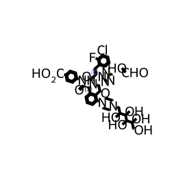 O=C(O)c1ccc(NC(=O)[C@@H]2c3cccc(N4CCN(CC(O)C(O)C(O)C(O)CO)CC4=O)c3CCN2C(=O)/C=C/c2c(-n3cnnn3)ccc(Cl)c2F)cc1.O=CO